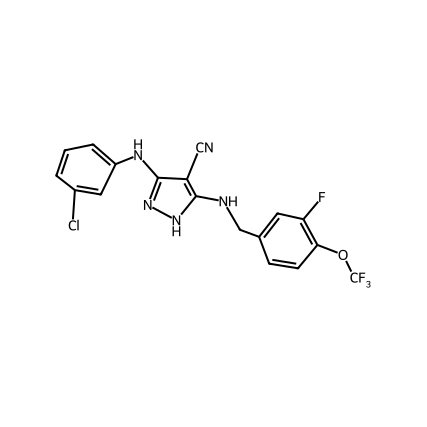 N#Cc1c(Nc2cccc(Cl)c2)n[nH]c1NCc1ccc(OC(F)(F)F)c(F)c1